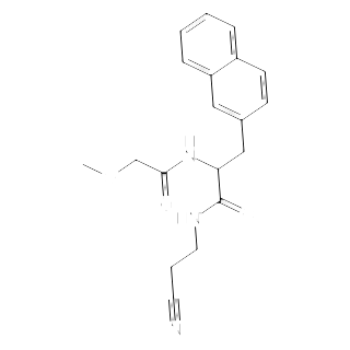 COCC(=O)NC(Cc1ccc2ccccc2c1)C(=O)NCCC#N